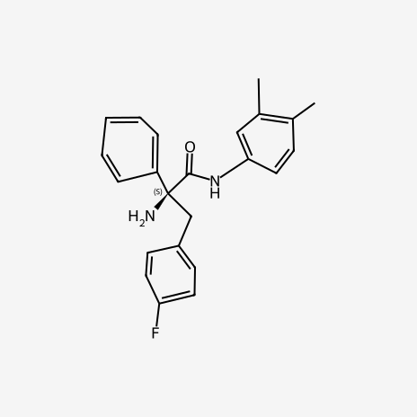 Cc1ccc(NC(=O)[C@](N)(Cc2ccc(F)cc2)c2ccccc2)cc1C